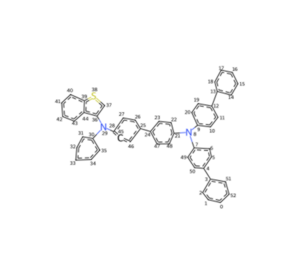 c1ccc(-c2ccc(N(c3ccc(-c4ccccc4)cc3)c3ccc(-c4ccc(N(c5ccccc5)c5csc6ccccc56)cc4)cc3)cc2)cc1